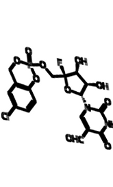 O=Cc1cn([C@@H]2O[C@](F)(COP3(=O)OCc4cc(Cl)ccc4O3)[C@@H](O)[C@H]2O)c(=O)[nH]c1=O